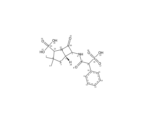 CC1(C)S[C@H]2C(NC(=O)C(c3ccccc3)S(=O)(=O)O)C(=O)N2C1P(=O)(O)O